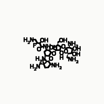 NC[C@@H]1CC[C@@H](N)[C@@H](O[C@H]2[C@H](O[C@@H]3O[C@H](CO)[C@@H](O[C@H]4O[C@@H](CN)[C@@H](O)[C@H](O)[C@H]4N)[C@H]3O)[C@@H](O)[C@H](NC(=O)C(O)[C@@H](F)CN)C[C@@H]2N)O1